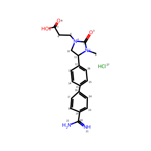 CN1C(=O)N(CCC(=O)O)CC1c1ccc(-c2ccc(C(=N)N)cc2)cc1.Cl